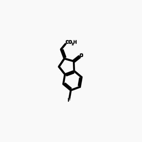 O=C(O)C=C1Cc2cc(F)ccc2C1=O